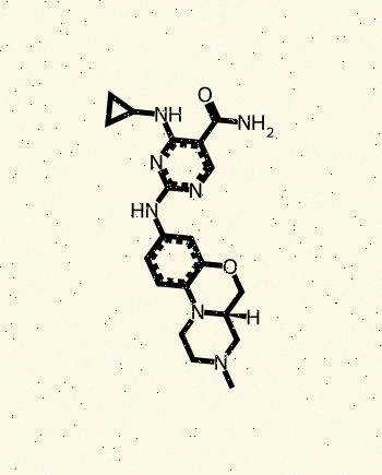 CN1CCN2c3ccc(Nc4ncc(C(N)=O)c(NC5CC5)n4)cc3OC[C@@H]2C1